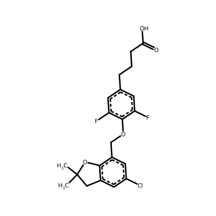 CC1(C)Cc2cc(Cl)cc(COc3c(F)cc(CCCC(=O)O)cc3F)c2O1